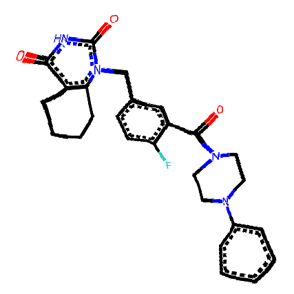 O=C(c1cc(Cn2c3c(c(=O)[nH]c2=O)CCCC3)ccc1F)N1CCN(c2ccccc2)CC1